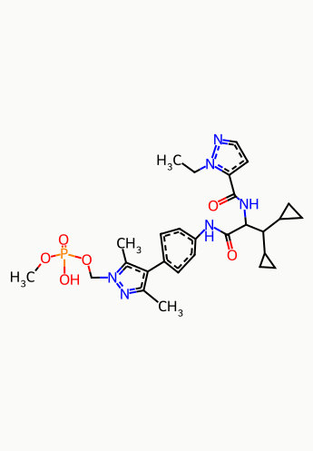 CCn1nccc1C(=O)NC(C(=O)Nc1ccc(-c2c(C)nn(COP(=O)(O)OC)c2C)cc1)C(C1CC1)C1CC1